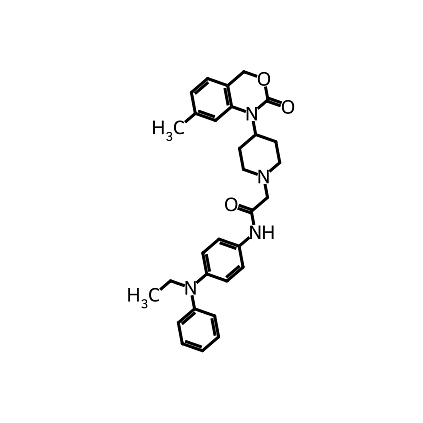 CCN(c1ccccc1)c1ccc(NC(=O)CN2CCC(N3C(=O)OCc4ccc(C)cc43)CC2)cc1